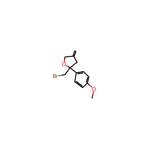 C=C1COC(CBr)(c2ccc(OC)cc2)C1